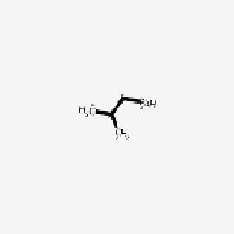 CC(C)[CH2][PbH]